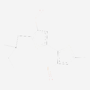 CCC(C)(C)Cc1sc(-c2sc(C)cc2P=O)cc1P=O